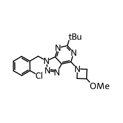 COC1CN(c2nc(C(C)(C)C)nc3c2nnn3Cc2ccccc2Cl)C1